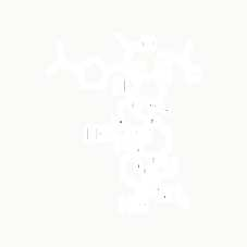 CC(=O)O[C@H]1C[C@@]2(C)[C@@H](C[C@@H](O)[C@H]3[C@@]4(C)CC[C@@H](O)[C@](C)(N)[C@@H]4CC[C@@]32C)/C1=C(/C(C)=O)C1CCC(=C(C)C)C1